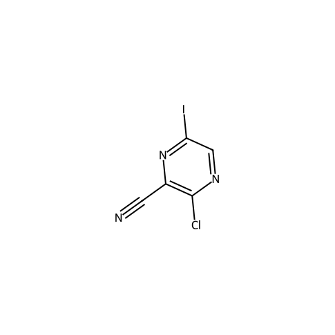 N#Cc1nc(I)cnc1Cl